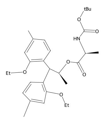 CCOc1cc(C)ccc1C(c1ccc(C)cc1OCC)[C@H](C)OC(=O)[C@H](C)NC(=O)OC(C)(C)C